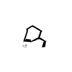 C=CC1C=CCCC1.O